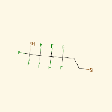 FC(F)(S)C(F)(F)C(F)(F)C(F)(F)CCS